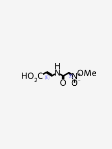 CO/[N+]([O-])=C/C(=O)N/C=C/C(=O)O